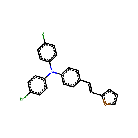 Brc1ccc(N(c2ccc(Br)cc2)c2ccc(C=Cc3cccs3)cc2)cc1